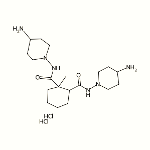 CC1(C(=O)NN2CCC(N)CC2)CCCCC1C(=O)NN1CCC(N)CC1.Cl.Cl